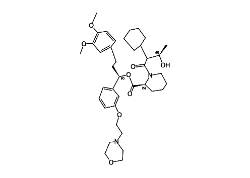 COc1ccc(CC[C@@H](OC(=O)[C@@H]2CCCCN2C(=O)C(C2CCCCC2)[C@@H](C)O)c2cccc(OCCN3CCOCC3)c2)cc1OC